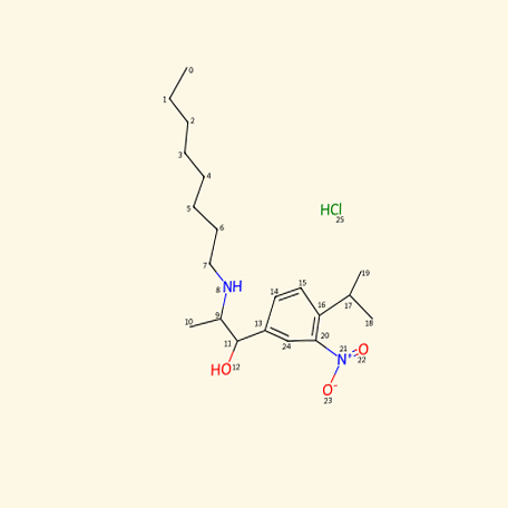 CCCCCCCCNC(C)C(O)c1ccc(C(C)C)c([N+](=O)[O-])c1.Cl